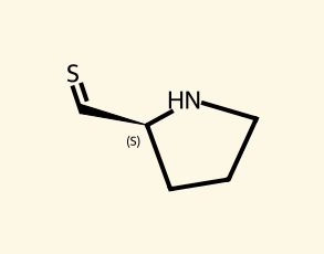 S=C[C@@H]1CCCN1